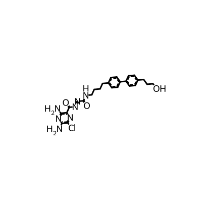 Nc1nc(N)c(C(=O)N=NC(=O)NCCCCc2ccc(-c3ccc(CCCO)cc3)cc2)nc1Cl